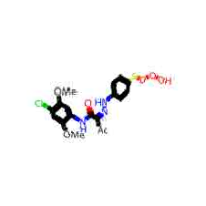 COc1cc(NC(=O)/C(=N\Nc2ccc(SOOO)cc2)C(C)=O)c(OC)cc1Cl